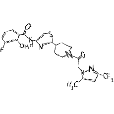 Cc1cc(C(F)(F)F)nn1CC(=O)N1CCC(c2nc(NC(=O)c3cccc(F)c3O)cs2)CC1